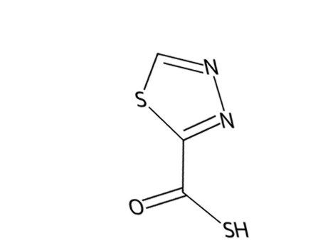 O=C(S)c1nncs1